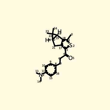 Cc1sc(C(=O)CCc2ccc(N(C)C)cc2)c2c1[C@H]1[C@@H](C2)C1(C)C